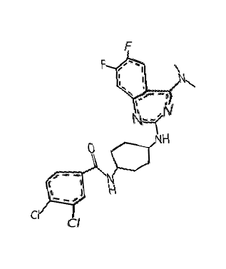 CN(C)c1nc(NC2CCC(NC(=O)c3ccc(Cl)c(Cl)c3)CC2)nc2cc(F)c(F)cc12